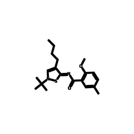 CCCCc1cn(C(C)(C)C)s/c1=N\C(=O)c1cc(C)ccc1OC